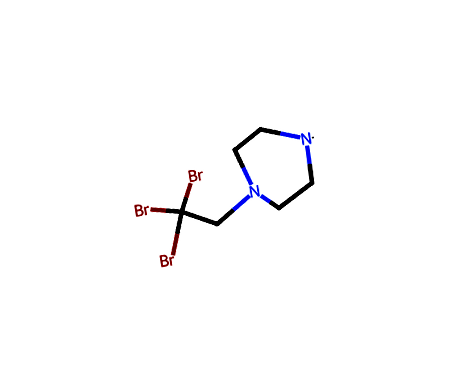 BrC(Br)(Br)CN1CC[N]CC1